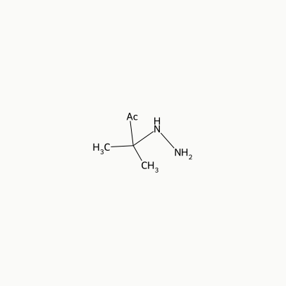 CC(=O)C(C)(C)NN